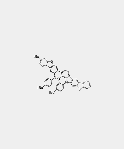 CC(C)(C)c1ccc(N2B3c4cc(C(C)(C)C)ccc4-n4c5cc6sc7ccccc7c6cc5c5ccc(c3c54)-c3cc4sc5cc(C(C)(C)C)ccc5c4cc32)cc1